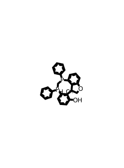 C[C@]12COc3cccc(c31)P(c1ccccc1)CP(c1ccccc1)c1cccc(O)c12